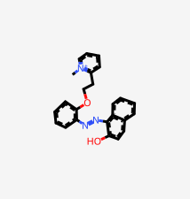 C[n+]1ccccc1CCOc1ccccc1/N=N/c1c(O)ccc2ccccc12